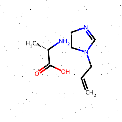 C=CCN1C=NCC1.C[C@H](N)C(=O)O